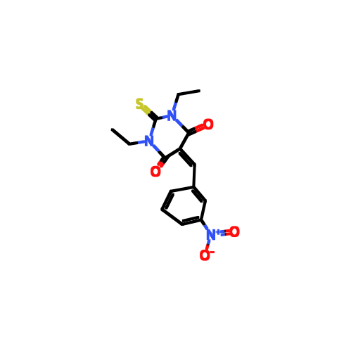 CCN1C(=O)C(=Cc2cccc([N+](=O)[O-])c2)C(=O)N(CC)C1=S